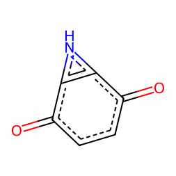 O=c1ccc(=O)c2[nH]c1=2